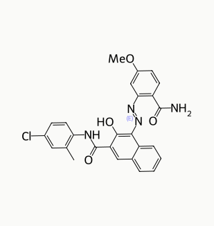 COc1ccc(C(N)=O)c(/N=N/c2c(O)c(C(=O)Nc3ccc(Cl)cc3C)cc3ccccc23)c1